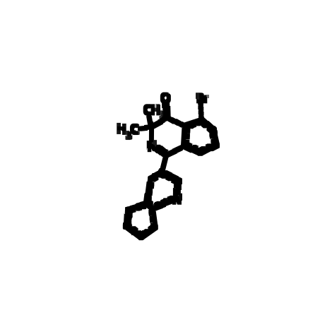 CC1(C)N=C(c2cnc3ccccc3c2)c2cccc(Br)c2C1=O